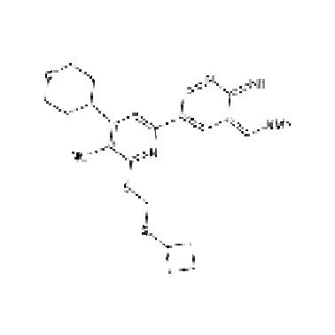 CN/C=C1/C=C(c2cc(C3CCOCC3)c(C#N)c(SCSC3CCC3)n2)C=NC1=N